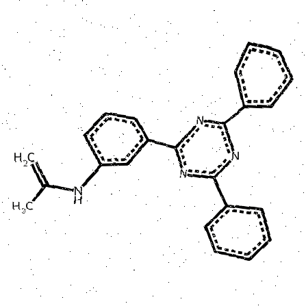 C=C(C)Nc1cccc(-c2nc(-c3ccccc3)nc(-c3ccccc3)n2)c1